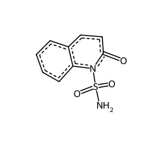 NS(=O)(=O)n1c(=O)ccc2ccccc21